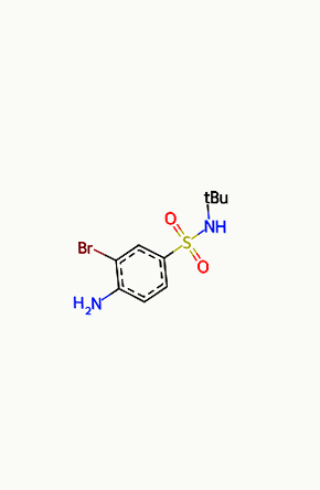 CC(C)(C)NS(=O)(=O)c1ccc(N)c(Br)c1